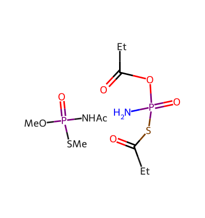 CCC(=O)OP(N)(=O)SC(=O)CC.COP(=O)(NC(C)=O)SC